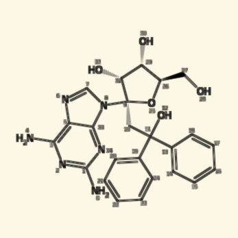 Nc1nc(N)c2ncn([C@]3(CC(O)(c4ccccc4)c4ccccc4)O[C@H](CO)[C@@H](O)[C@H]3O)c2n1